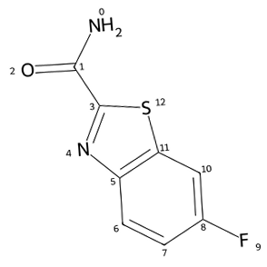 NC(=O)c1nc2ccc(F)cc2s1